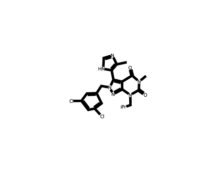 Cc1nc[nH]c1-c1c2c(=O)n(C)c(=O)n(CC(C)C)c2nn1Cc1cc(Cl)cc(Cl)c1